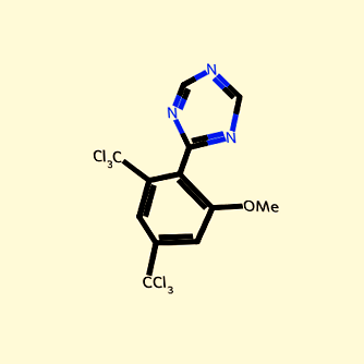 COc1cc(C(Cl)(Cl)Cl)cc(C(Cl)(Cl)Cl)c1-c1ncncn1